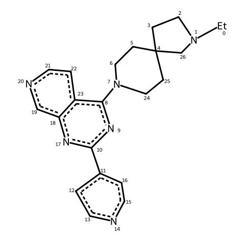 CCN1CCC2(CCN(c3nc(-c4ccncc4)nc4cnccc34)CC2)C1